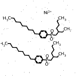 CCCCCCCCCc1ccc(P(=O)([O-])CC(CC)CCCC)cc1.CCCCCCCCCc1ccc(P(=O)([O-])CC(CC)CCCC)cc1.[Ni+2]